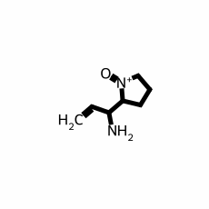 C=CC(N)C1CCC[N+]1=O